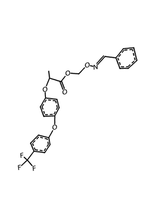 CC(Oc1ccc(Oc2ccc(C(F)(F)F)cc2)cc1)C(=O)OCON=Cc1ccccc1